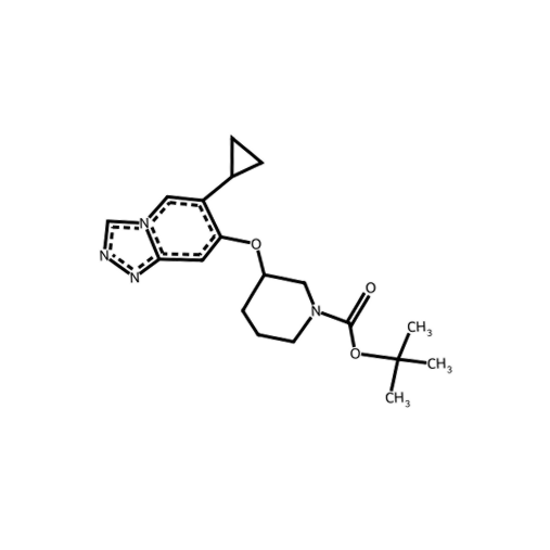 CC(C)(C)OC(=O)N1CCCC(Oc2cc3nncn3cc2C2CC2)C1